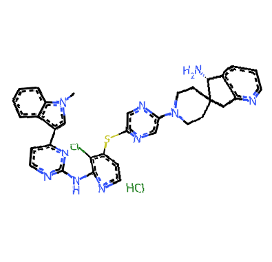 Cl.Cn1cc(-c2ccnc(Nc3nccc(Sc4cnc(N5CCC6(CC5)Cc5ncccc5[C@H]6N)cn4)c3Cl)n2)c2ccccc21